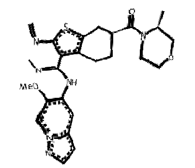 C=Nc1sc2c(c1/C(=N\C)Nc1cc3ccnn3cc1OC)CC[C@H](C(=O)N1CCOC[C@@H]1C)C2